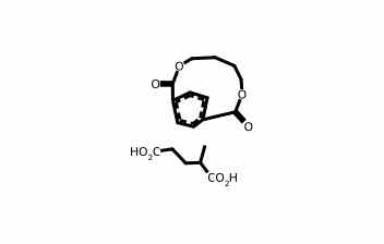 CC(CCC(=O)O)C(=O)O.O=C1OCCCCOC(=O)c2ccc1cc2